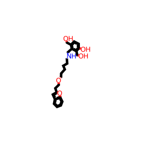 OCc1ccc(O)c(CO)c1CNCCCCCCOCCc1cc2ccccc2o1